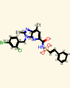 CCc1cc(C(=O)NS(=O)(=O)C=Cc2ccccc2)nc2c1nc(CC)n2Cc1ccc(Br)cc1Cl